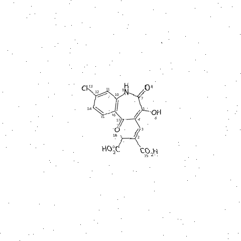 O=C(O)CC(=Cc1c(O)c(=O)[nH]c2cc(Cl)ccc2c1=O)C(=O)O